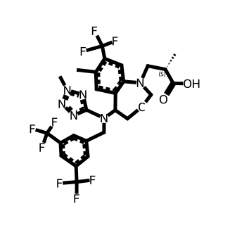 Cc1cc2c(cc1C(F)(F)F)N(C[C@H](C)C(=O)O)CCCC2N(Cc1cc(C(F)(F)F)cc(C(F)(F)F)c1)c1nnn(C)n1